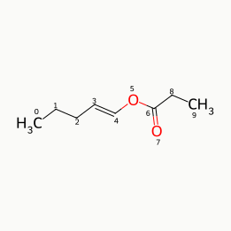 CCCC=COC(=O)CC